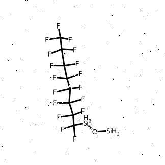 FC(F)(F)C(F)(F)C(F)(F)C(F)(F)C(F)(F)C(F)(F)C(F)(F)C(F)(F)[SiH2]O[SiH3]